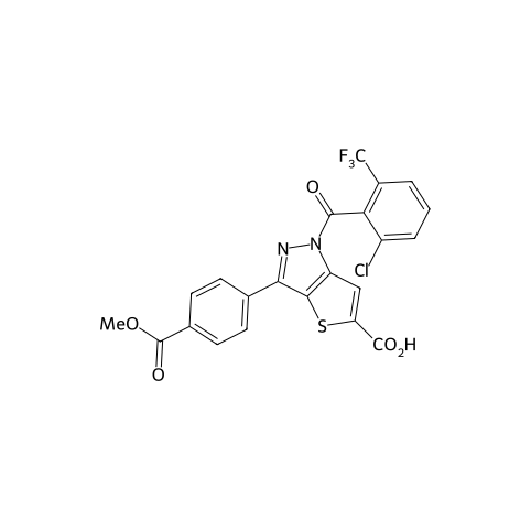 COC(=O)c1ccc(-c2nn(C(=O)c3c(Cl)cccc3C(F)(F)F)c3cc(C(=O)O)sc23)cc1